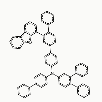 c1ccc(-c2ccc(N(c3ccc(-c4ccc(-c5ccccc5)c(-c5cccc6c5oc5ccccc56)c4)cc3)c3ccc(-c4ccccc4)c(-c4ccccc4)c3)cc2)cc1